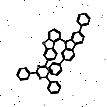 c1ccc(C2=NC(c3ccccc3)NC(c3ccc4c(c3)oc3cccc(-n5c6cc(-c7ccccc7)ccc6c6ccc(-c7ccccc7)cc65)c34)=N2)cc1